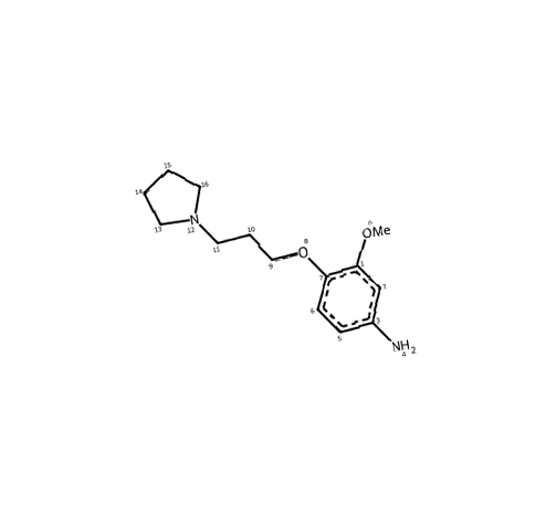 COc1cc(N)ccc1OCCCN1CCCC1